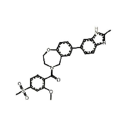 COc1cc(S(C)(=O)=O)ccc1C(=O)N1CCOc2ccc(-c3ccc4nc(C)[nH]c4c3)cc2C1